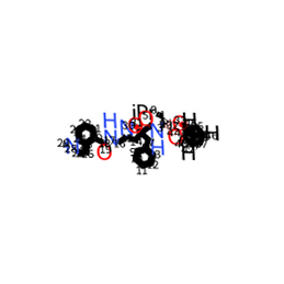 CC(C)C[C@H](NC(=O)C1(Cc2ccccc2)CC(CNC(=O)c2cccc3c2ccn3C)=NO1)B1O[C@@H]2C[C@@H]3C[C@@H](C3(C)C)[C@]2(C)O1